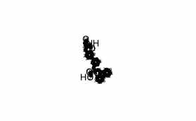 O=C(O)NC(Cc1cccc(-c2ccc(CC3SC(=O)NC3=O)cc2)c1)CC1c2ccccc2-c2ccccc21